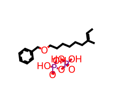 CC=C(C)CCCCCCOCc1ccccc1.O=P(O)(O)OP(=O)(O)O